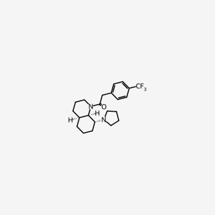 O=C(Cc1ccc(C(F)(F)F)cc1)N1CCC[C@@H]2CCC[C@@H](N3CCCC3)[C@@H]21